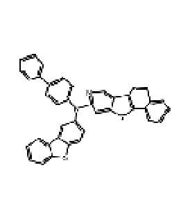 c1ccc(-c2ccc(N(c3ccc4sc5ccccc5c4c3)c3cc4sc5c6ccccc6ccc5c4cn3)cc2)cc1